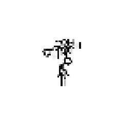 CC1CN(Cc2cccc(-c3nc(O)c(O)c(C(=O)NCc4ccccc4)n3)c2)CC(C)N1